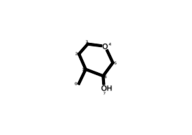 CC1CCOCC1O